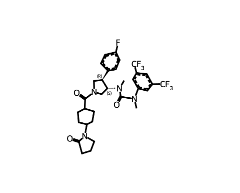 CN(C(=O)N(C)[C@@H]1CN(C(=O)C2CCC(N3CCCC3=O)CC2)C[C@H]1c1ccc(F)cc1)c1cc(C(F)(F)F)cc(C(F)(F)F)c1